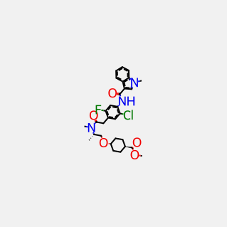 COC(=O)[C@H]1CC[C@H](OC[C@H](C)N(C)C(=O)Cc2cc(Cl)c(NC(=O)c3cn(C)c4ccccc34)cc2F)CC1